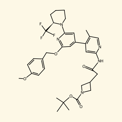 COc1ccc(COc2cc(-c3cc(NC(=O)CC4CN(C(=O)OC(C)(C)C)C4)ncc3C)cc(N3CCCC[C@@H]3C(F)(F)F)n2)cc1